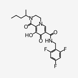 CCCC(C)N1CCn2cc(C(=O)NCc3c(F)cc(F)cc3F)c(=O)c(O)c2C1=O